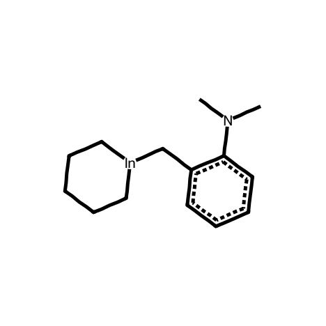 CN(C)c1ccccc1[CH2][In]1[CH2]CCC[CH2]1